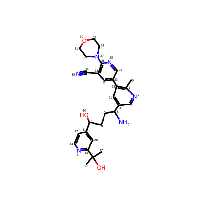 Cc1ncc(C(N)CCC(O)c2ccnc(C(C)(C)O)c2)cc1-c1cnc(N2CCOCC2)c(C#N)c1